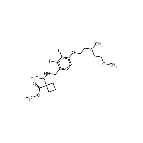 COCCN(C)CCOc1ccc(CNN(C)C2(C(=O)OC)CCC2)c(F)c1F